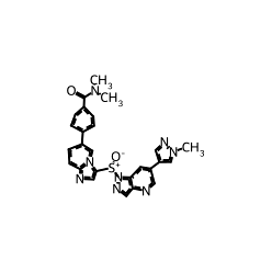 CN(C)C(=O)c1ccc(-c2ccc3ncc([S+]([O-])n4ncc5ncc(-c6cnn(C)c6)cc54)n3c2)cc1